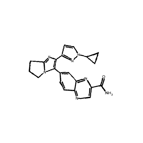 NC(=O)c1cnc2ccc(-c3c(-c4ccn(C5CC5)n4)nc4n3CCC4)cc2n1